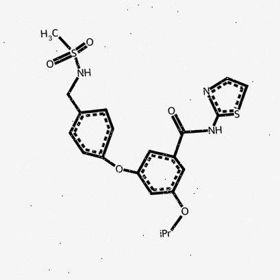 CC(C)Oc1cc(Oc2ccc(CNS(C)(=O)=O)cc2)cc(C(=O)Nc2nccs2)c1